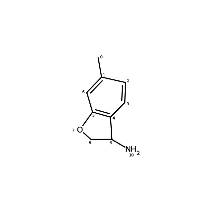 Cc1ccc2c(c1)OCC2N